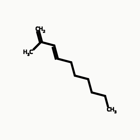 C=C(C)C=CCCCCCC